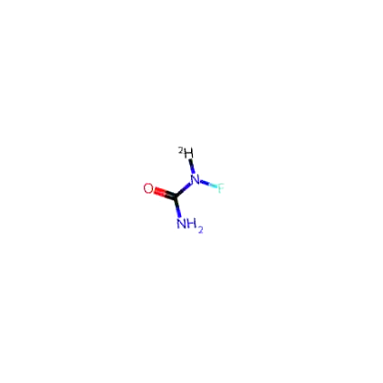 [2H]N(F)C(N)=O